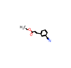 CCOC(=O)C=Cc1cccc(C#N)c1